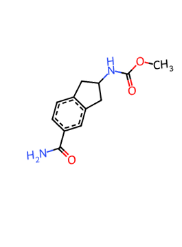 COC(=O)NC1Cc2ccc(C(N)=O)cc2C1